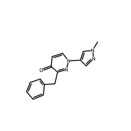 Cn1cc(-n2ccc(=O)c(Cc3c[c]ccc3)n2)cn1